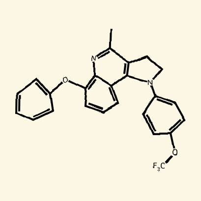 Cc1nc2c(Oc3ccccc3)cccc2c2c1CCN2c1ccc(OC(F)(F)F)cc1